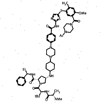 CC[C@@H](NC(=O)[C@@H]1C[C@H](NC2CCC(N3CCN(c4ccc(C(=O)Nc5ncc(Sc6cc(C(=O)N7CCN(C(C)=O)CC7)c(OC)cc6C)s5)cc4)CC3)CC2)CN1C(=O)[C@@H](NC(=O)[C@H](C)NC)C(C)(C)C)c1ccccc1